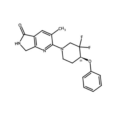 Cc1cc2c(nc1N1CC[C@H](Oc3ccccc3)C(F)(F)C1)CNC2=O